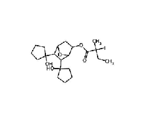 CCC(C)(I)C(=O)OC1CC2OC1C(C1(O)CCCC1)C2C1(O)CCCC1